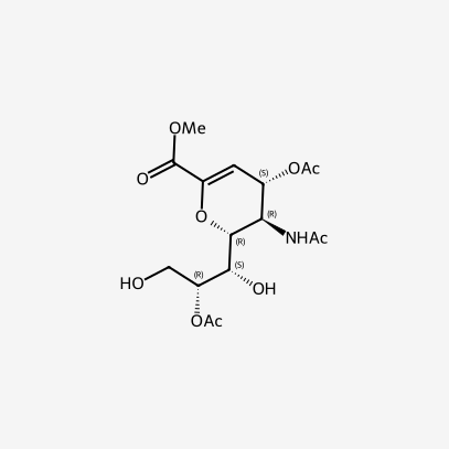 COC(=O)C1=C[C@H](OC(C)=O)[C@@H](NC(C)=O)[C@H]([C@H](O)[C@@H](CO)OC(C)=O)O1